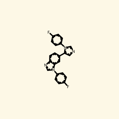 Fc1ccc(-n2cncc2-c2ccc3ncn(-c4ccc(F)cc4)c3c2)cc1